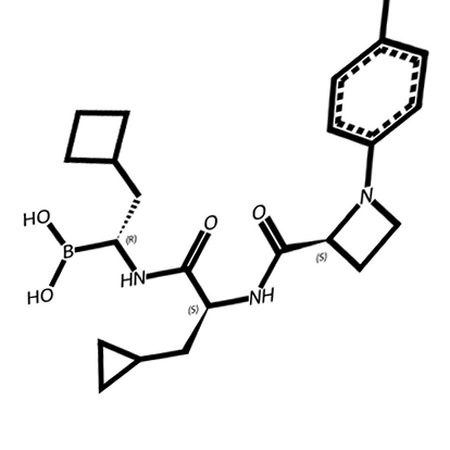 O=C(N[C@@H](CC1CCC1)B(O)O)[C@H](CC1CC1)NC(=O)[C@@H]1CCN1c1ccc(F)cc1